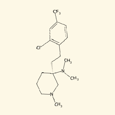 CN1CCC[C@@](CCc2ccc(C(F)(F)F)cc2Cl)(N(C)C)C1